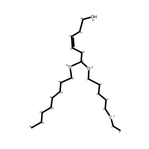 CCCCCCCCOC(C/C=C\CCO)OCCCCCCCC